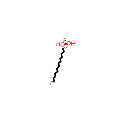 OC(O)(F)OCCCCCCCCCCCCCCF